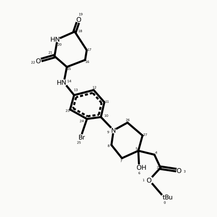 CC(C)(C)OC(=O)CC1(O)CCN(c2ccc(NC3CCC(=O)NC3=O)cc2Br)CC1